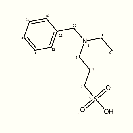 CCN(CCCS(=O)(=O)O)Cc1ccccc1